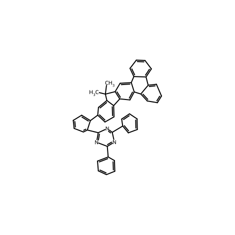 CC1(C)c2cc(-c3ccccc3-c3nc(-c4ccccc4)nc(-c4ccccc4)n3)ccc2-c2cc3c4ccccc4c4ccccc4c3cc21